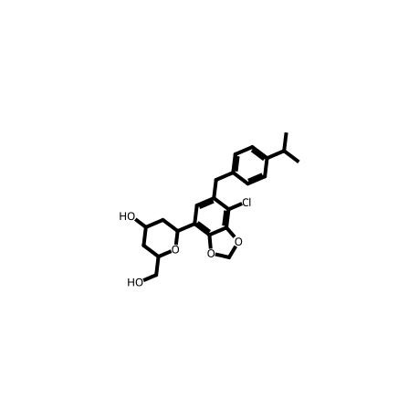 CC(C)c1ccc(Cc2cc(C3CC(O)CC(CO)O3)c3c(c2Cl)OCO3)cc1